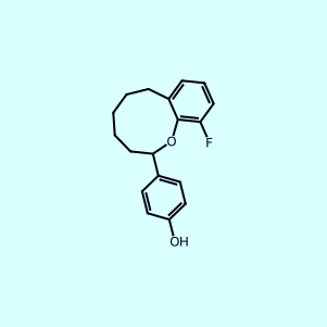 Oc1ccc(C2CCCCCc3cccc(F)c3O2)cc1